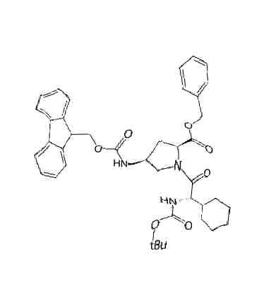 CC(C)(C)OC(=O)N[C@H](C(=O)N1C[C@@H](NC(=O)OCC2c3ccccc3-c3ccccc32)C[C@H]1C(=O)OCc1ccccc1)C1CCCCC1